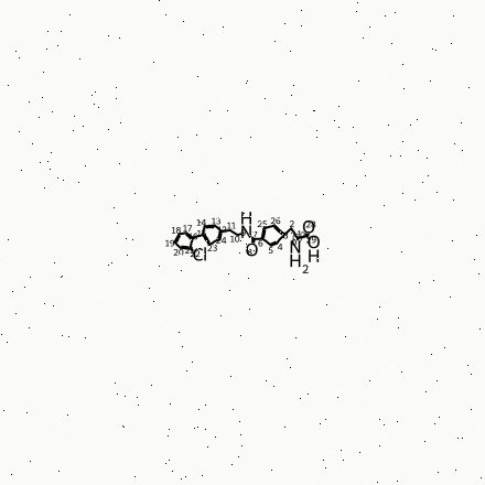 N[C@@H](Cc1ccc(C(=O)NCCc2ccc(-c3ccccc3Cl)cc2)cc1)C(=O)O